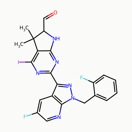 CC1(C)c2c(I)nc(-c3nn(Cc4ccccc4F)c4ncc(F)cc34)nc2NC1C=O